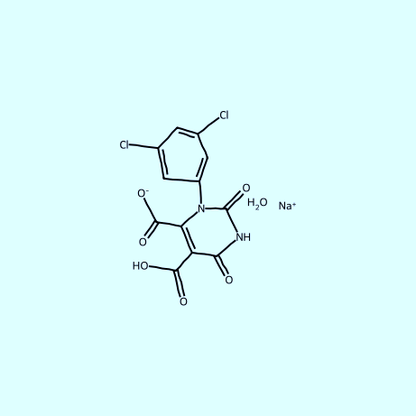 O.O=C(O)c1c(C(=O)[O-])n(-c2cc(Cl)cc(Cl)c2)c(=O)[nH]c1=O.[Na+]